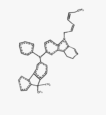 C/C=C\C=C/Cn1c2c(c3cc(N(c4ccccc4)c4ccc5c(c4)-c4ccccc4C5(C)C)ccc31)CCC=C2